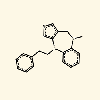 CN1Cc2cscc2N(CCc2ccccc2)c2ccccc21